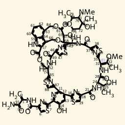 C=C(NC(=O)c1csc(-c2nc3c(cc2O)-c2nc(cs2)C(=O)N[C@@H]([C@@H](C)O)C(=O)N/C(=C(\C)OC)c2nc(cs2)C(=O)N[C@@H]2c4nc(cs4)C(=O)N[C@@H](COC(=O)c4[nH]c5cccc6c5c4COC2[C@H](O[C@H]2C[C@](C)(O)[C@H](NC)[C@H](C)O2)C(=O)OC6)c2nc-3cs2)n1)C(N)=O